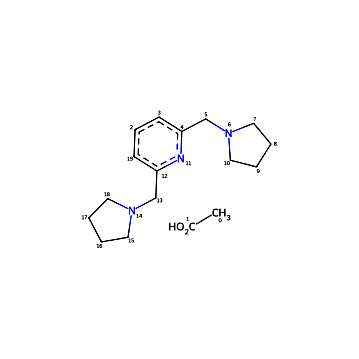 CC(=O)O.c1cc(CN2CCCC2)nc(CN2CCCC2)c1